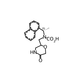 C[C@@H](c1cccc2ccccc12)N(CC1CNC(=O)CO1)C(=O)O